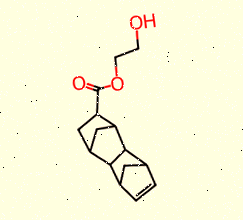 O=C(OCCO)C1CC2CC1C1C3C=CC(C3)C21